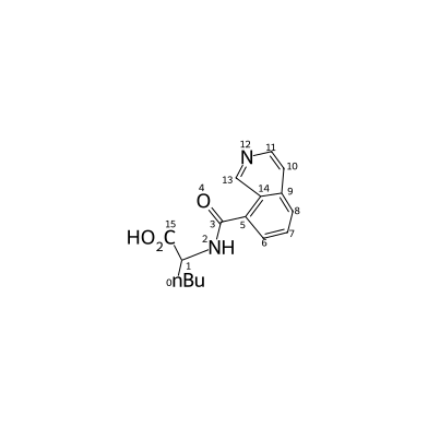 CCCCC(NC(=O)c1cccc2ccncc12)C(=O)O